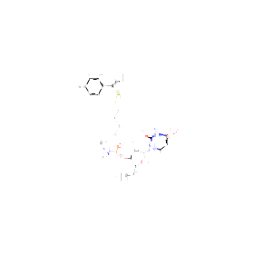 [2H]CC1OC(n2ccc(=O)[nH]c2=O)C(F)C1OP(OCCCCSSC(C)c1ccccc1)N(C(C)C)C(C)C